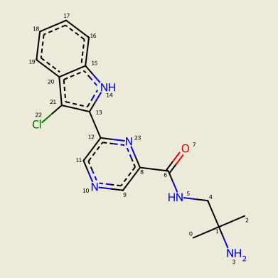 CC(C)(N)CNC(=O)c1cncc(-c2[nH]c3ccccc3c2Cl)n1